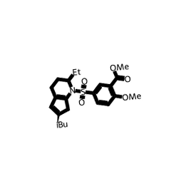 CCC1CCC2=C(CC([C@H](C)CC)=C2)N1S(=O)(=O)c1ccc(OC)c(C(=O)OC)c1